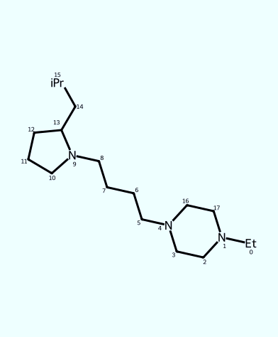 CCN1CCN(CCCCN2CCCC2CC(C)C)CC1